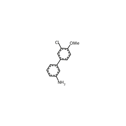 COc1ccc(-c2cccc(N)c2)cc1Cl